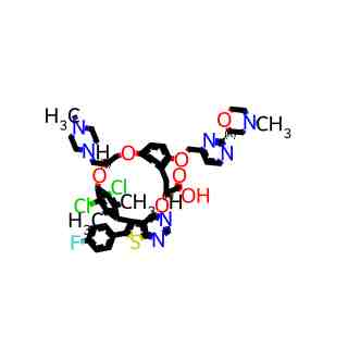 Cc1c(Cl)c2c(Cl)c(C)c1-c1c(-c3ccc(F)cc3)sc3ncnc(c13)O[C@@H](C(=O)O)Cc1cc(ccc1OCc1ccnc([C@H]3CN(C)CCO3)n1)OC[C@@H](CN1CCN(C)CC1)O2